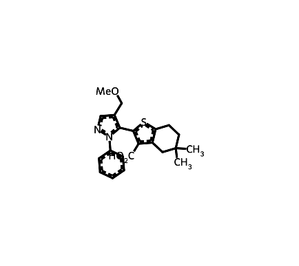 COCc1cnn(-c2ccccc2)c1-c1sc2c(c1C(=O)O)CC(C)(C)CC2